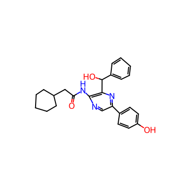 O=C(CC1CCCCC1)Nc1ncc(-c2ccc(O)cc2)nc1C(O)c1ccccc1